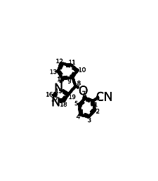 N#Cc1ccccc1OC1c2ccccc2-n2cncc21